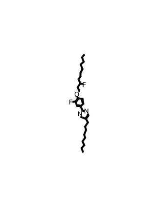 CCCCCCCCCc1cnc(-c2ccc(OCCC(F)CCCCCCCC)c(F)c2)nc1